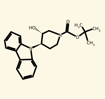 CC(C)(C)OC(=O)N1CC[C@@H](n2c3ccccc3c3ccccc32)[C@H](O)C1